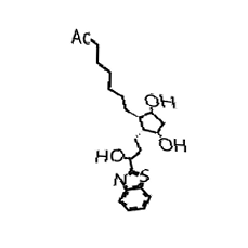 CC(=O)CCCCCC[C@@H]1[C@@H](CCC(O)c2nc3ccccc3s2)[C@H](O)C[C@@H]1O